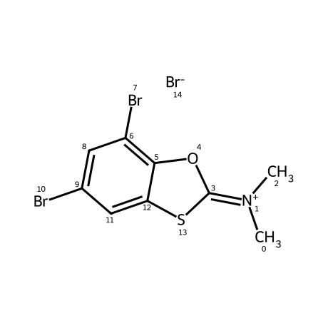 C[N+](C)=c1oc2c(Br)cc(Br)cc2s1.[Br-]